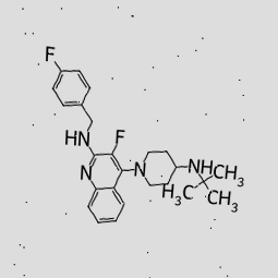 CC(C)(C)NC1CCN(c2c(F)c(NCc3ccc(F)cc3)nc3ccccc23)CC1